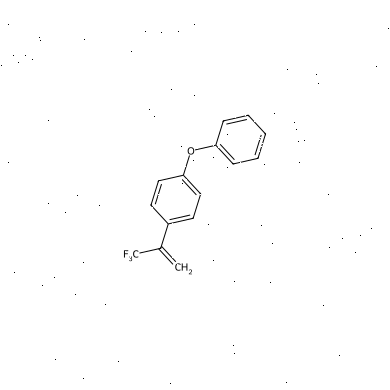 C=C(c1ccc(Oc2ccccc2)cc1)C(F)(F)F